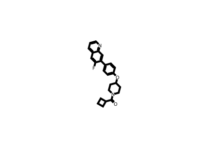 O=C(C1CCC1)N1CCC(Oc2ccc(-c3cc4ncccc4cc3F)cc2)CC1